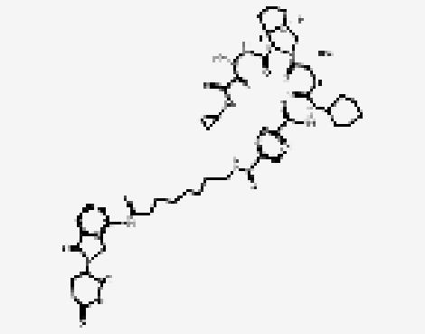 CCC[C@H](NC(=O)[C@@H]1[C@H]2CCC[C@H]2CN1C(=O)[C@@H](NC(=O)[C@@H](NC(=O)c1cnc(C(=O)NCCCCCCCC(=O)Nc2cccc3c2CN(C2CCC(=O)NC2=O)C3=O)cn1)C1CCCCC1)C(C)(C)C)C(=O)C(=O)NC1CC1